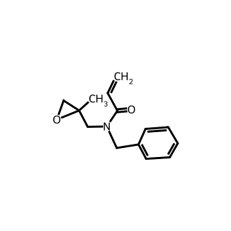 C=CC(=O)N(Cc1ccccc1)CC1(C)CO1